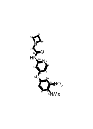 CNc1ccc(Oc2ccnc(NC(=O)CN3CCC3)c2)cc1[N+](=O)[O-]